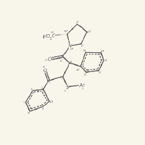 CC(=O)SC(C(=O)c1ccccc1)C(C(=O)N1CCC[C@H]1C(=O)O)c1ccccc1